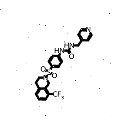 O=C(NCc1ccncc1)Nc1ccc(S(=O)(=O)N2CCc3cccc(C(F)(F)F)c3C2)cc1